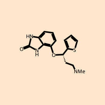 CNCC[C@H](Oc1cccc2[nH]c(=O)[nH]c12)c1cccs1